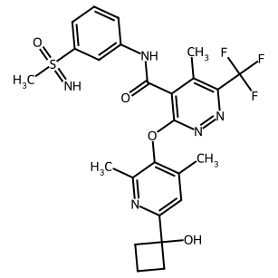 Cc1cc(C2(O)CCC2)nc(C)c1Oc1nnc(C(F)(F)F)c(C)c1C(=O)Nc1cccc(S(C)(=N)=O)c1